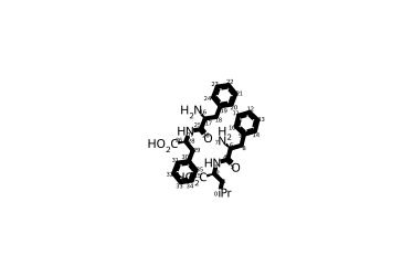 CC(C)C[C@H](NC(=O)[C@@H](N)Cc1ccccc1)C(=O)O.N[C@@H](Cc1ccccc1)C(=O)N[C@@H](Cc1ccccc1)C(=O)O